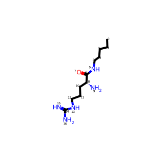 CCCCCNC(=O)[C@H](N)CCCNC(=N)N